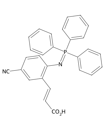 N#Cc1ccc(N=P(c2ccccc2)(c2ccccc2)c2ccccc2)c(C=CC(=O)O)c1